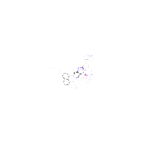 CCc1cccc2cc(OCOC)cc(-c3nc4c5c(nc(OC[C@]67CCCN6C[C@H](F)C7)nc5c3F)N3C[C@@H]5CC[C@H]([C@@H]3CO4)N5C(=O)OC(C)(C)C)c12